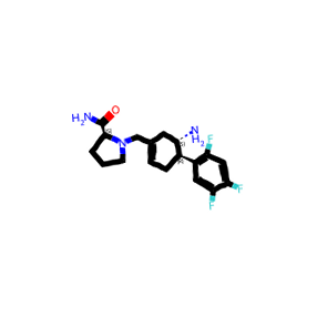 NC(=O)[C@@H]1CCCN1CC1=CC[C@H](c2cc(F)c(F)cc2F)[C@@H](N)C1